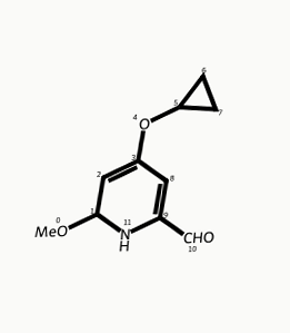 COC1C=C(OC2CC2)C=C(C=O)N1